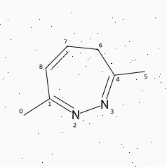 CC1=NN=C(C)CC=C1